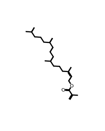 C=C(C)C(=O)OCC=C(C)CCCC(C)CCCC(C)CCCC(C)C